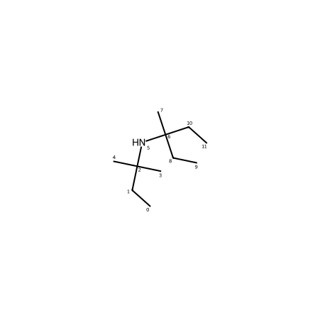 CCC(C)(C)NC(C)(CC)CC